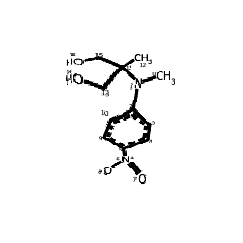 CN(c1ccc([N+](=O)[O-])cc1)C(C)(CO)CO